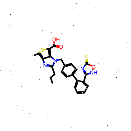 CCCc1nc2c(C)sc(C(=O)O)c2n1Cc1ccc(-c2ccccc2-c2nc(=S)o[nH]2)cc1